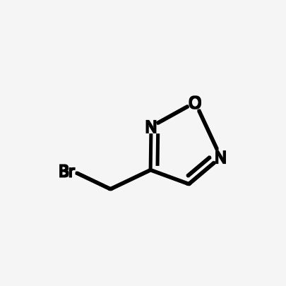 BrCc1cnon1